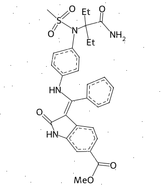 CCC(CC)(C(N)=O)N(c1ccc(N/C(=C2\C(=O)Nc3cc(C(=O)OC)ccc32)c2ccccc2)cc1)S(C)(=O)=O